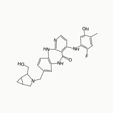 Cc1cc(F)c(Nc2ccnc3c2C(=O)Nc2cc(CN4CC5CC5C4CO)ccc2N3)cc1O